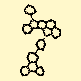 c1ccc(-n2c3ccccc3c3c2cc2ccc4cccc5c4c2c3n5-c2ccc(-c3ccc4c5ccccc5c5ccccc5c4c3)cc2)cc1